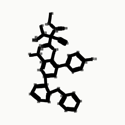 C#CC(C(=O)Oc1c(-c2ccc(F)cc2)cc(-c2ccccc2Cc2ccccc2)nc1C(C)C)(C(C)O)[PH](=O)OC